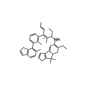 CC=C/C(=C(/C)C(CC)NC1=C(CC)CC2C(=C1)C1=C(CC=C1)C2(C)C)c1cccc(-c2c(C)ccc3c2CC=C3)c1C